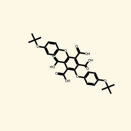 CC(C)(C)Oc1ccc(Oc2c(C(=O)O)c(C(=O)O)c(Oc3ccc(OC(C)(C)C)cc3)c(C(=O)O)c2C(=O)O)cc1